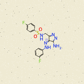 NC1=NN=C(CNS(=O)(=O)c2ccc(F)cc2)/C1=N/Nc1cccc(F)c1